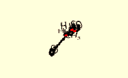 CN1C(=O)CC[C@]2(C)[C@H]3CC[C@]4(C)[C@@H](CCCCCCCCCC(=O)Oc5ccccc5)CC[C@H]4[C@@H]3CC[C@@H]12